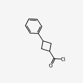 O=C(Cl)C1CC(c2ccccc2)C1